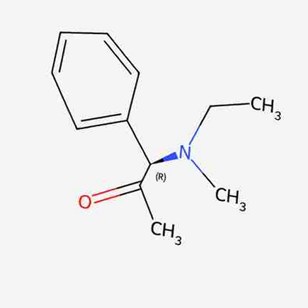 CCN(C)[C@@H](C(C)=O)c1ccccc1